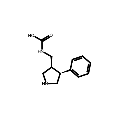 O=C(O)NC[C@@H]1CNC[C@@H]1c1ccccc1